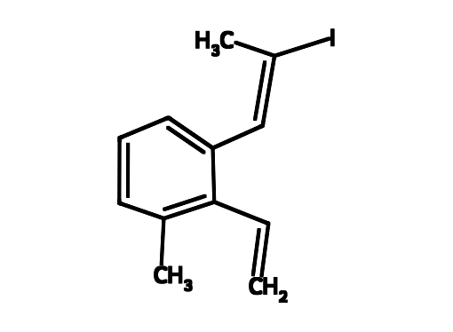 C=Cc1c(C)cccc1/C=C(\C)I